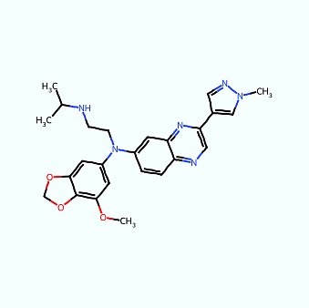 COc1cc(N(CCNC(C)C)c2ccc3ncc(-c4cnn(C)c4)nc3c2)cc2c1OCO2